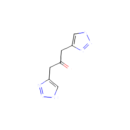 O=C(Cc1c[nH]nn1)Cc1c[nH]nn1